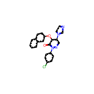 O=c1c(Oc2ccc3ccccc3c2)c(-n2ccnc2)cnn1-c1ccc(Cl)cc1